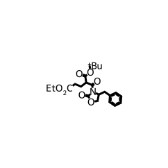 CCOC(=O)CCC(C(=O)OC(C)(C)C)C(=O)N1C(=O)OCC1Cc1ccccc1